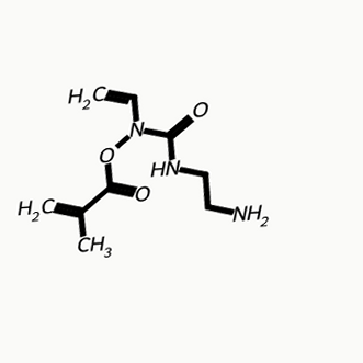 C=CN(OC(=O)C(=C)C)C(=O)NCCN